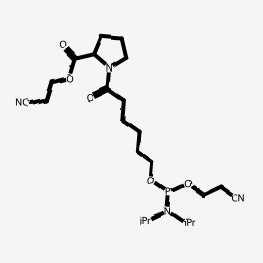 CC(C)N(C(C)C)P(OCCC#N)OCCCCCC(=O)N1CCCC1C(=O)OCCC#N